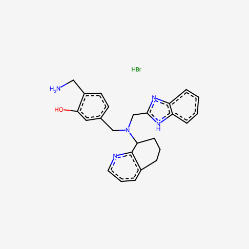 Br.NCc1ccc(CN(Cc2nc3ccccc3[nH]2)C2CCCc3cccnc32)cc1O